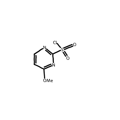 COc1ccnc(S(=O)(=O)Cl)n1